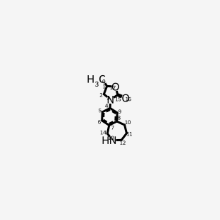 CC1CN(c2ccc3c(c2)CCCNC3)C(=O)O1